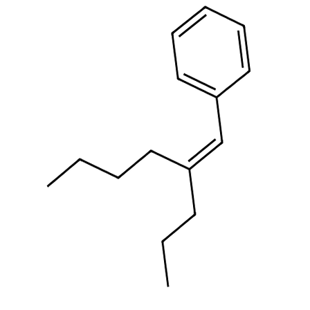 CCCCC(=Cc1ccccc1)CCC